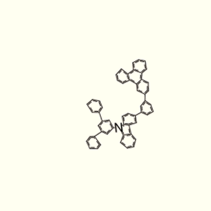 c1ccc(-c2cc(-c3ccccc3)cc(-n3c4ccccc4c4cc(-c5cccc(-c6ccc7c8ccccc8c8ccccc8c7c6)c5)ccc43)c2)cc1